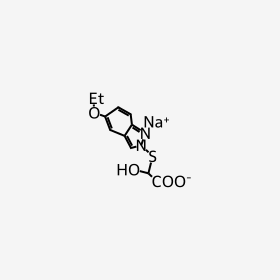 CCOc1ccc2nn(SC(O)C(=O)[O-])cc2c1.[Na+]